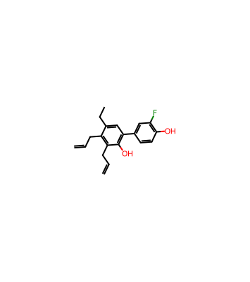 C=CCc1c(CC)cc(-c2ccc(O)c(F)c2)c(O)c1CC=C